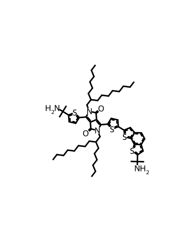 CCCCCCCCC(CCCCCC)CN1C(=O)C2=C(c3ccc(C(C)(C)N)s3)N(CC(CCCCCC)CCCCCCCC)C(=O)C2=C1c1ccc(-c2cc3ccc4cc(C(C)(C)N)sc4c3s2)s1